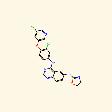 Clc1cncc(Oc2ccc(Nc3ncnc4ccc(NC5=NCCO5)cc34)cc2Cl)c1